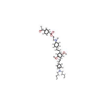 CCCCN(CCCC)c1ccc(C=Cc2cc(OC)c(C=Cc3ccc(N(C)CCOC(=O)c4ccc(C(C)=O)cc4)cc3)cc2OC)cc1